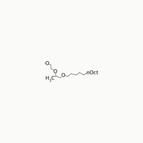 CCCCCCCCCCCCCOCC(C)OCC[O]